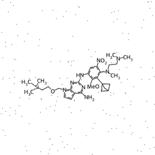 COc1c(Nc2nc(N)c3ccn(COCC[Si](C)(C)C)c3n2)cc([N+](=O)[O-])c(N(C)CCN(C)C)c1C12CC(C1)C2